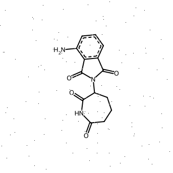 Nc1cccc2c1C(=O)N(C1CCCC(=O)NC1=O)C2=O